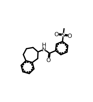 CS(=O)(=O)c1cccc(C(=O)NC2CCCc3ccccc3C2)c1